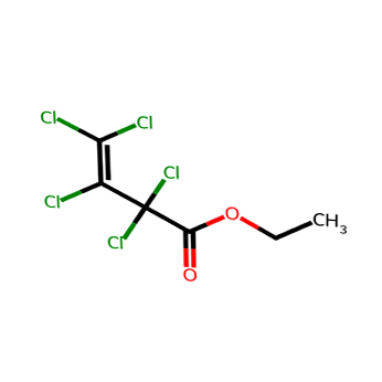 CCOC(=O)C(Cl)(Cl)C(Cl)=C(Cl)Cl